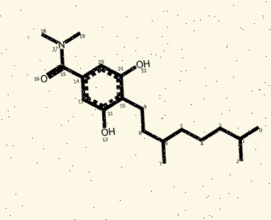 CC(C)CCCC(C)CCc1c(O)cc(C(=O)N(C)C)cc1O